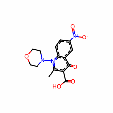 Cc1c(C(=O)O)c(=O)c2cc([N+](=O)[O-])ccc2n1N1CCOCC1